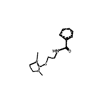 CN1CCN(C)P1SCCNC(=O)c1ccccc1